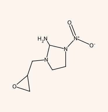 NC1N(CC2CO2)CCN1[N+](=O)[O-]